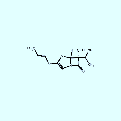 CC(O)[C@@]1(C(=O)O)C(=O)N2C=C(SCCC(=O)O)S[C@@H]21